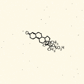 C[C@H](OS(=O)(=O)O)C(=O)[C@@]1(C)CCC2C3CCC4=CC(=O)CCC4=C3CC[C@@]21C